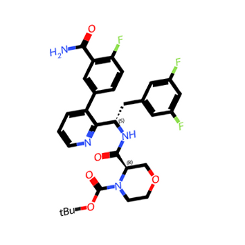 CC(C)(C)OC(=O)N1CCOC[C@@H]1C(=O)N[C@@H](Cc1cc(F)cc(F)c1)c1ncccc1-c1ccc(F)c(C(N)=O)c1